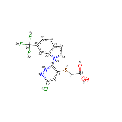 O=C(O)CSc1cc(Cl)nnc1-n1ccc2ccc(C(F)(F)F)cc21